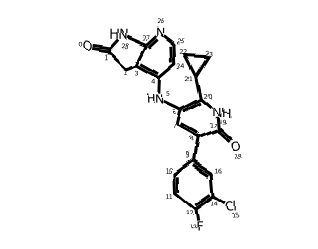 O=C1Cc2c(Nc3cc(-c4ccc(F)c(Cl)c4)c(=O)[nH]c3C3CC3)ccnc2N1